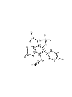 Cc1ccc(-c2c([CH]C(C)(C)C)c(CC(C)C)nc(CC(C)C)c2CC#N)cc1